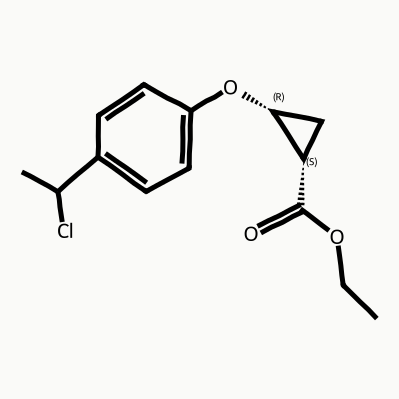 CCOC(=O)[C@H]1C[C@H]1Oc1ccc(C(C)Cl)cc1